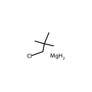 CC(C)(C)CCl.[MgH2]